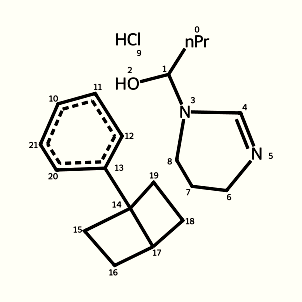 CCCC(O)N1C=NCCC1.Cl.c1ccc(C23CCC2CC3)cc1